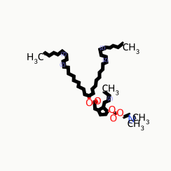 CC/C=C\CC1C(CC(=O)OC(CCCCCCCC/C=C\C/C=C\CCCCC)CCCCCCCC/C=C\C/C=C\CCCCC)CCC1OC(=O)OCCN(C)C